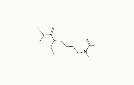 C=C(C(C)C)C(CC)CCCCN(C)C(=C)C